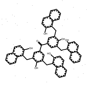 O=C(c1cc(Cc2c(O)ccc3ccccc23)c(O)c(Cc2c(O)ccc3ccccc23)c1)c1cc(Cc2c(O)ccc3ccccc23)c(O)c(Cc2c(O)ccc3ccccc23)c1